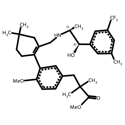 COC(=O)C(C)(C)Cc1ccc(OC)c(C2=C(CN[C@@H](C)[C@H](O)c3cc(C)cc(C(F)(F)F)c3)CC(C)(C)CC2)c1